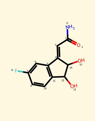 NC(=O)C=C1c2cc(F)ccc2C(O)C1O